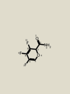 NC(=O)C1OC=C(F)C(F)=C1F